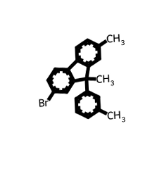 Cc1cccc(C2(C)c3cc(C)ccc3-c3ccc(Br)cc32)c1